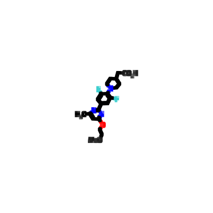 COCCOc1cc(C)nc(-c2cc(F)c(N3CCC(CC(=O)O)CC3)c(F)c2)n1